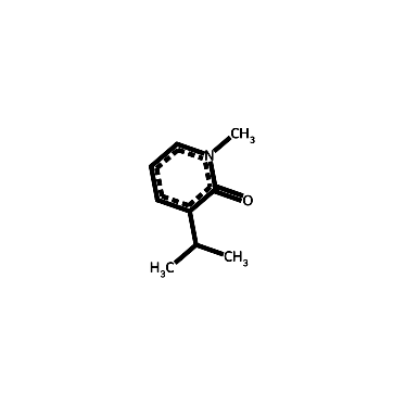 CC(C)c1cccn(C)c1=O